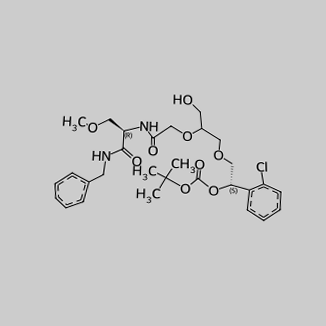 COC[C@@H](NC(=O)COC(CO)COC[C@@H](OC(=O)OC(C)(C)C)c1ccccc1Cl)C(=O)NCc1ccccc1